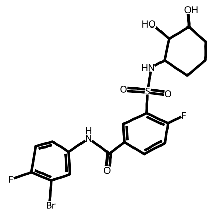 O=C(Nc1ccc(F)c(Br)c1)c1ccc(F)c(S(=O)(=O)NC2CCCC(O)C2O)c1